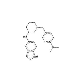 CN(C)c1ccc(CN2CCCC(Nc3ccc4[nH]ncc4c3)C2)cc1